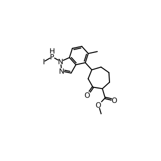 COC(=O)C1CCCC(c2c(C)ccc3c2cnn3PI)CC1=O